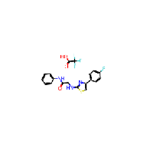 O=C(CNc1nc(-c2ccc(F)cc2)cs1)Nc1ccccc1.O=C(O)C(F)(F)F